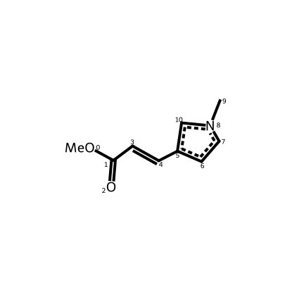 COC(=O)/C=C/c1ccn(C)c1